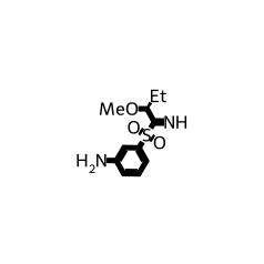 CC[C@H](OC)C(=N)S(=O)(=O)c1cccc(N)c1